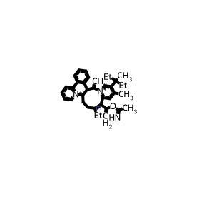 C=C(OC(C)=N)/C1=C(\CC)CCC2C(C(=C)[n+]3cc(C(C)(CC)CC)c(C)cc31)c1ccccc1-c1cccc[n+]12